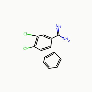 N=C(N)c1ccc(Cl)c(Cl)c1.c1ccccc1